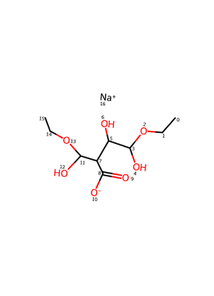 CCOC(O)C(O)C(C(=O)[O-])C(O)OCC.[Na+]